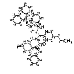 CCCc1cnc(C([C@@H]2C[C@@H](SC(c3ccccc3)(c3ccccc3)c3ccccc3)CN2)N(Cc2cc(F)ccc2F)C(=O)OCc2ccccc2)nc1